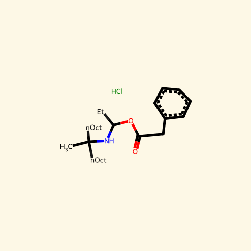 CCCCCCCCC(C)(CCCCCCCC)NC(CC)OC(=O)Cc1ccccc1.Cl